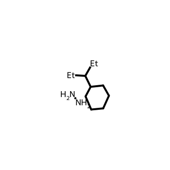 CCC(CC)C1CCCCC1.NN